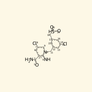 N=c1c(C(N)=O)cc(Cl)cn1Cc1cc(Cl)cc(C[SH](=O)=O)c1